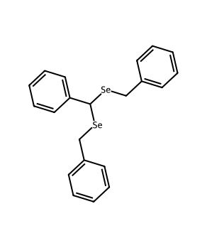 c1ccc(C[Se]C([Se]Cc2ccccc2)c2ccccc2)cc1